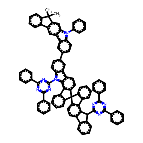 CC1(C)c2ccccc2-c2cc3c4cc(-c5ccc6c(c5)c5ccc7c(c5n6-c5nc(-c6ccccc6)nc(-c6ccccc6)n5)-c5ccccc5C75c6ccccc6-c6c5ccc5c6C(c6nc(-c7ccccc7)nc(-c7ccccc7)n6)c6ccccc6-5)ccc4n(-c4ccccc4)c3cc21